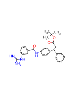 CC(C)(C)OC(=O)CC(c1ccccc1)c1ccc(NC(=O)c2cccc(NC(=N)N)c2)cc1